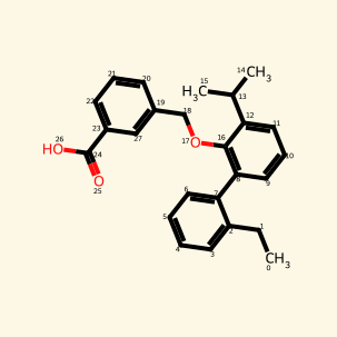 CCc1ccccc1-c1cccc(C(C)C)c1OCc1cccc(C(=O)O)c1